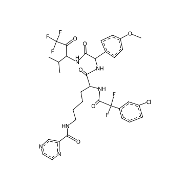 COc1ccc(C(NC(=O)C(CCCCNC(=O)c2cnccn2)NC(=O)C(F)(F)c2cccc(Cl)c2)C(=O)NC(C(=O)C(F)(F)F)C(C)C)cc1